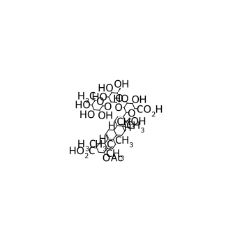 CC(=O)O[C@@H]1C[C@](C)(C(=O)O)C[C@H]2C3=CC[C@@H]4[C@@]5(C)CC[C@H]([C@@H]6O[C@H](C(=O)O)[C@@H](O)[C@H](O)[C@H]6O[C@@H]6O[C@H](CO)[C@H](O)[C@H](O)[C@H]6O[C@@H]6O[C@@H](C)[C@H](O)[C@@H](O)[C@H]6O)[C@](C)(CO)[C@@H]5CC[C@@]4(C)[C@]3(C)CC[C@@]12C